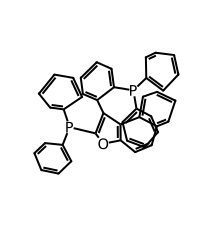 c1ccc(P(c2ccccc2)c2ccccc2-c2c(P(c3ccccc3)c3ccccc3)oc3ccc4ccccc4c23)cc1